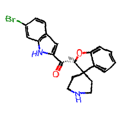 O=C(c1cc2ccc(Br)cc2[nH]1)[C@@H]1Oc2ccccc2C12CCNCC2